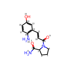 NC(=O)C1CCCN1C(=O)C=Cc1cc(O)ccc1N